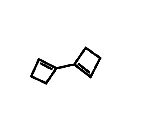 C1=C(C2=CCC2)CC1